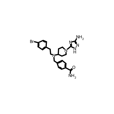 NC(=O)c1ccc(CN(CCc2ccc(Br)cc2)C2CCN(c3nc(N)n[nH]3)CC2)cc1